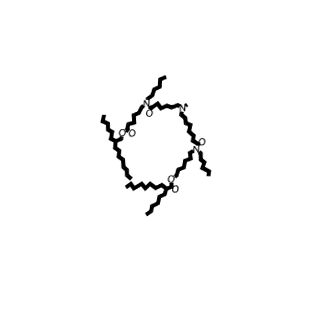 CCCCCCCCC(CCCCCC)COC(=O)CCCCCN(CCCCCC)C(=O)CCCCCN(C)CCCCCCCC(=O)N(CCCCCC)CCCCCCOC(=O)C(CCCCCC)CCCCCCCC